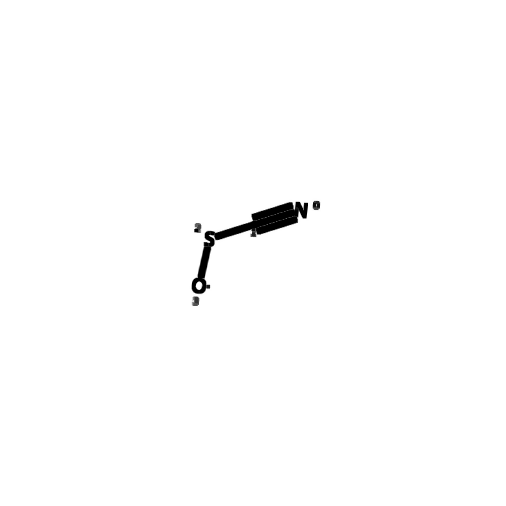 N#CS[O]